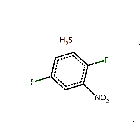 O=[N+]([O-])c1cc(F)ccc1F.S